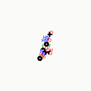 CC1(CNC(=O)Nc2cc(F)c(Oc3ccnc4c3c(C3(O)COC3)cn4S(=O)(=O)c3ccccc3)c(F)c2)COC1